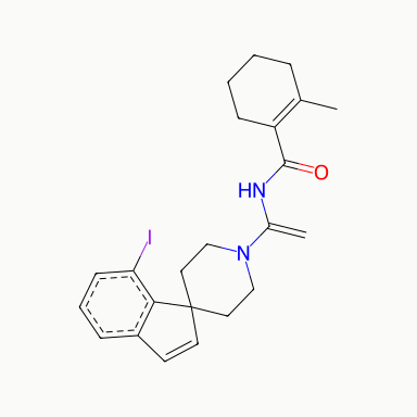 C=C(NC(=O)C1=C(C)CCCC1)N1CCC2(C=Cc3cccc(I)c32)CC1